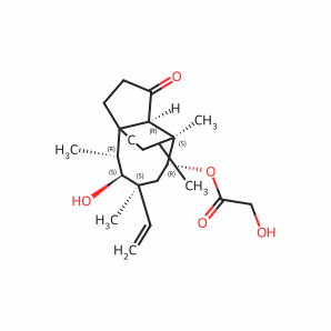 C=C[C@]1(C)C[C@@H](OC(=O)CO)[C@@]2(C)C(C)CCC3(CCC(=O)[C@H]32)[C@@H](C)[C@@H]1O